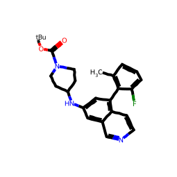 Cc1cccc(F)c1-c1cc(NC2CCN(C(=O)OC(C)(C)C)CC2)cc2cnccc12